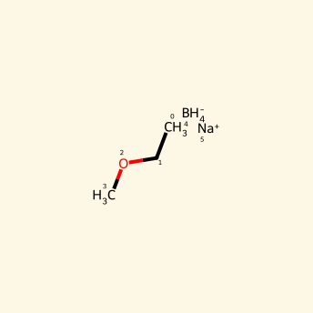 CCOC.[BH4-].[Na+]